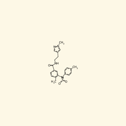 Cc1ccc(N(c2cc(C(=O)NCCc3cnn(C)c3)ccc2C)[SH](=O)=O)cc1